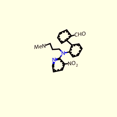 CNCCCN(c1ccccc1-c1ccccc1C=O)c1ncccc1[N+](=O)[O-]